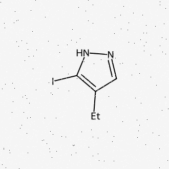 CCc1cn[nH]c1I